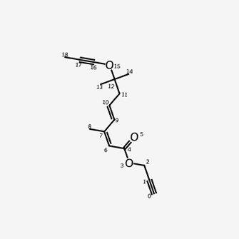 C#CCOC(=O)C=C(C)C=CCC(C)(C)OC#CC